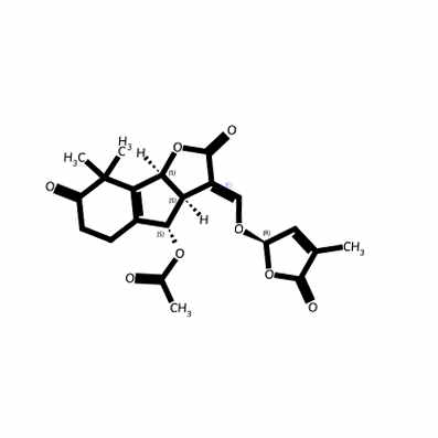 CC(=O)O[C@@H]1C2=C([C@H]3OC(=O)/C(=C/O[C@H]4C=C(C)C(=O)O4)[C@@H]13)C(C)(C)C(=O)CC2